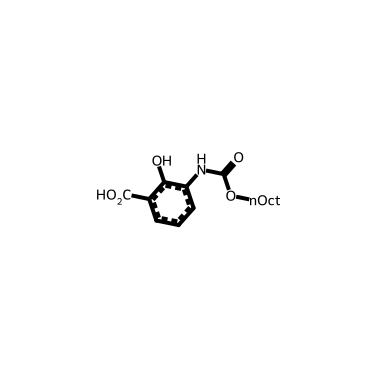 CCCCCCCCOC(=O)Nc1cccc(C(=O)O)c1O